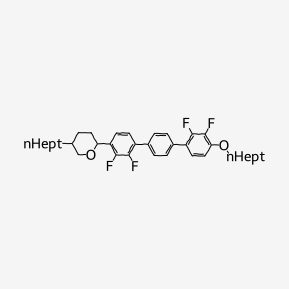 CCCCCCCOc1ccc(-c2ccc(-c3ccc(C4CCC(CCCCCCC)CO4)c(F)c3F)cc2)c(F)c1F